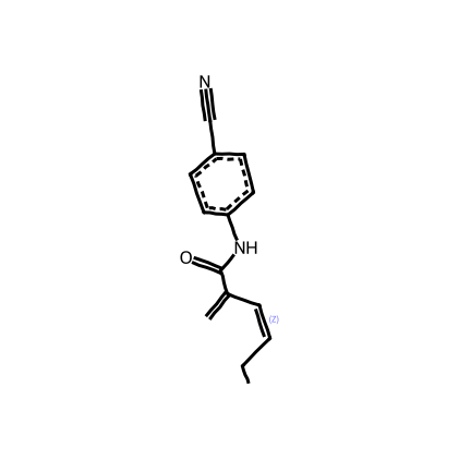 C=C(/C=C\CC)C(=O)Nc1ccc(C#N)cc1